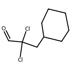 O=CC(Cl)(Cl)CC1CCCCC1